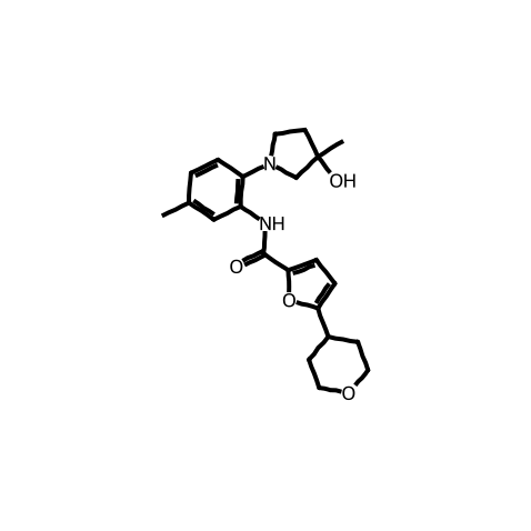 Cc1ccc(N2CCC(C)(O)C2)c(NC(=O)c2ccc(C3CCOCC3)o2)c1